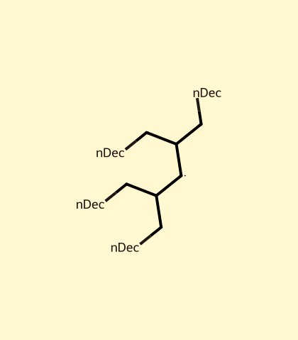 CCCCCCCCCCCC([CH]C(CCCCCCCCCCC)CCCCCCCCCCC)CCCCCCCCCCC